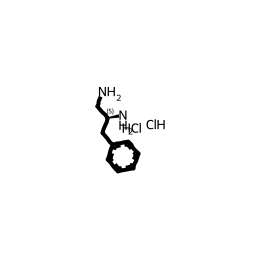 Cl.Cl.NC[C@@H](N)Cc1ccccc1